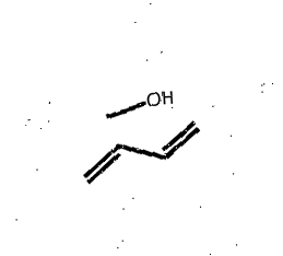 C=CC=C.CO